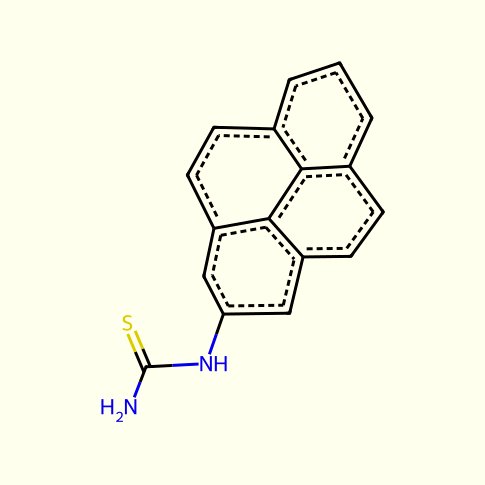 NC(=S)Nc1cc2ccc3cccc4ccc(c1)c2c34